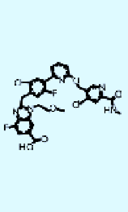 CNC(=O)c1cc(Cl)c(COc2cccc(-c3cc(Cl)c(Cc4nc5c(F)cc(C(=O)O)cc5n4CCOC)cc3F)n2)cn1